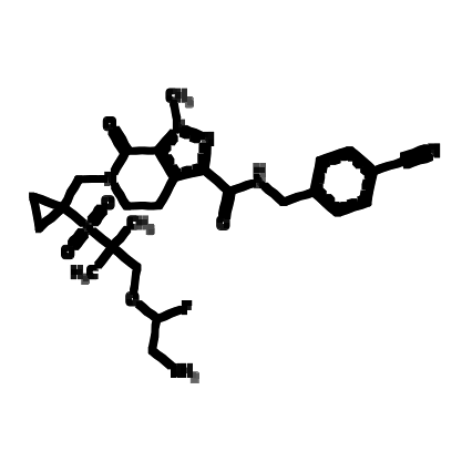 Cn1nc(C(=O)NCc2ccc(C#N)cc2)c2c1C(=O)N(CC1(S(=O)(=O)C(C)(C)COC(F)CN)CC1)CC2